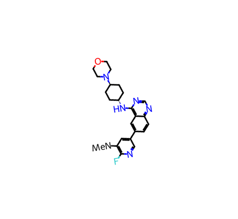 CNc1cc(-c2ccc3ncnc(N[C@H]4CC[C@H](N5CCOCC5)CC4)c3c2)cnc1F